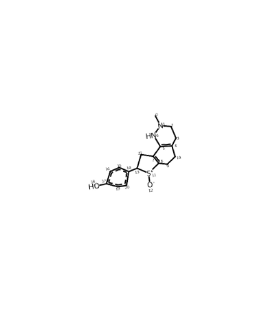 CN1CCC2=C(N1)C1=C(CC2)[S+]([O-])C(c2ccc(O)cc2)C1